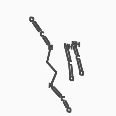 N=C=O.N=C=O.O=C=NCCN=C=O